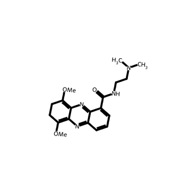 COC1=c2nc3cccc(C(=O)NCCN(C)C)c3nc2=C(OC)CC1